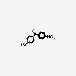 CC(C)(C)N1CCN(C(=O)c2ccc([N+](=O)[O-])cc2)CC1